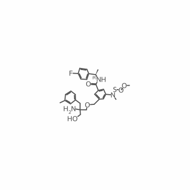 COOSN(C)c1cc(COCC(N)(CO)Cc2cccc(C)c2)cc(C(=O)N[C@H](C)c2ccc(F)cc2)c1